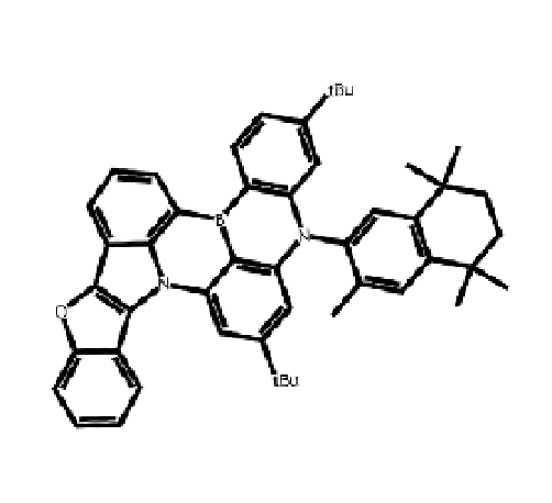 Cc1cc2c(cc1N1c3cc(C(C)(C)C)ccc3B3c4c1cc(C(C)(C)C)cc4-n1c4c3cccc4c3oc4ccccc4c31)C(C)(C)CCC2(C)C